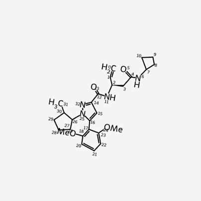 C=C[C@@H](CC(=O)NC1CCC1)NC(=O)c1cc(-c2c(OC)cccc2OC)n(C2CCCC2C)n1